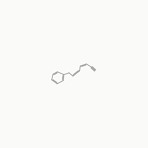 C#C/C=C\C=C/Cc1ccccc1